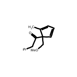 COCC1(C(=O)CC(C)C)C=CC=C1C